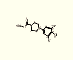 CC(C)(C)OC(=O)N1CCN(c2cc(Br)c(Cl)c(Br)c2)CC1